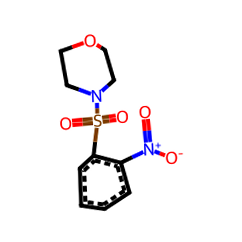 O=[N+]([O-])c1ccccc1S(=O)(=O)N1CCOCC1